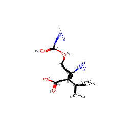 CC(C)C(C(=O)O)=C(N)COC(N)=O